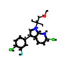 COCC(C)(C)n1cc(-c2ccc(Cl)c(F)c2)c2ccc(Cl)nc21